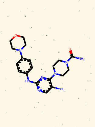 NC(=O)N1CCN(c2nc(Nc3ccc(N4CCOCC4)cc3)ncc2N)CC1